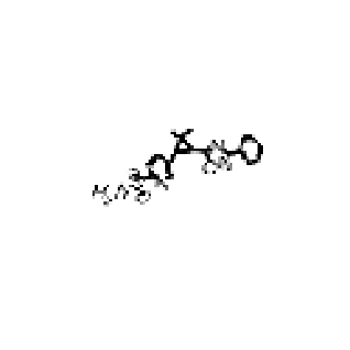 CC1(C)C(c2ccc(S(N)(=O)=O)nc2)C1c1nc(-c2ccccc2)no1